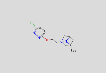 CC(C)(C)C12CC(CN(CCOc3ccc(Cl)nn3)C1)N2